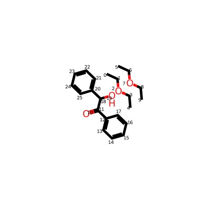 CCOCC.CCOCC.O=C(c1ccccc1)C(O)c1ccccc1